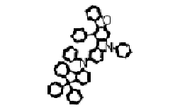 c1ccc(-c2c3c(cc4c2c2cc(N(c5ccccc5)c5cccc6c5-c5ccccc5C6(c5ccccc5)c5ccccc5)ccc2n4-c2ccccc2)oc2ccccc23)cc1